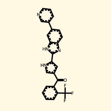 O=C(c1c[nH]c(-c2nc3ccc(-c4cccnc4)cc3[nH]2)c1)c1ccccc1C(F)(F)F